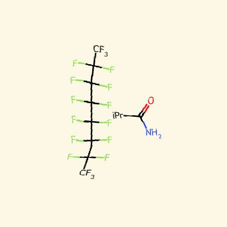 CC(C)C(N)=O.FC(F)(F)C(F)(F)C(F)(F)C(F)(F)C(F)(F)C(F)(F)C(F)(F)C(F)(F)F